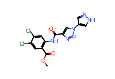 COC(=O)c1cc(Cl)c(Cl)cc1NC(=O)c1cn(-c2cn[nH]c2)nn1